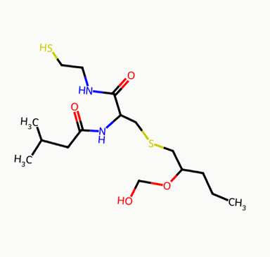 CCCC(CSCC(NC(=O)CC(C)C)C(=O)NCCS)OCO